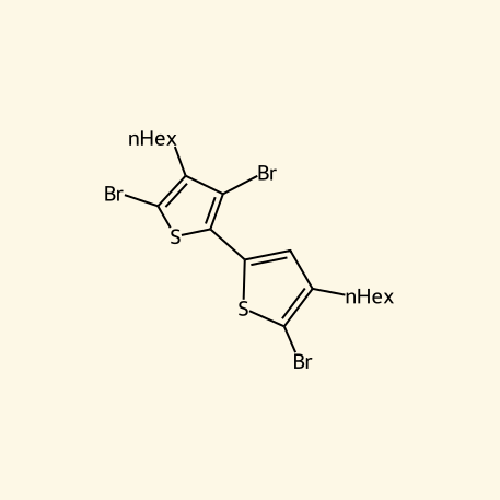 CCCCCCc1cc(-c2sc(Br)c(CCCCCC)c2Br)sc1Br